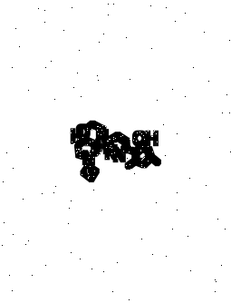 Cc1cc(C)c(-c2ccc(N3CCO[C@@H]4CCN(C5CCC5)C[C@@H]43)nn2)c(O)c1